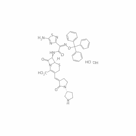 Cl.Cl.Nc1nc(/C(=N/OC(c2ccccc2)(c2ccccc2)c2ccccc2)C(=O)N[C@@H]2C(=O)N3C(C(=O)O)=C(/C=C4\CCN([C@@H]5CCNC5)C4=O)CS[C@H]23)ns1